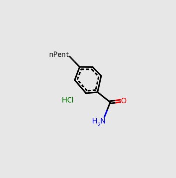 CCCCCc1ccc(C(N)=O)cc1.Cl